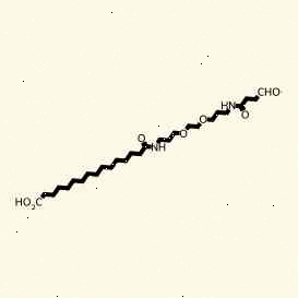 O=[C]CCC(=O)NCCCOCCOCCCNC(=O)CCCCCCCCCCCCCCC(=O)O